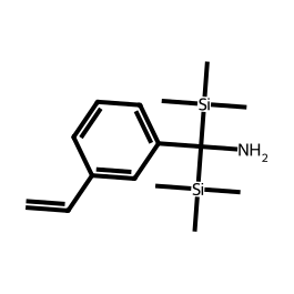 C=Cc1cccc(C(N)([Si](C)(C)C)[Si](C)(C)C)c1